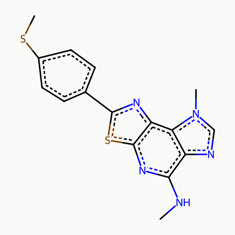 CNc1nc2sc(-c3ccc(SC)cc3)nc2c2c1ncn2C